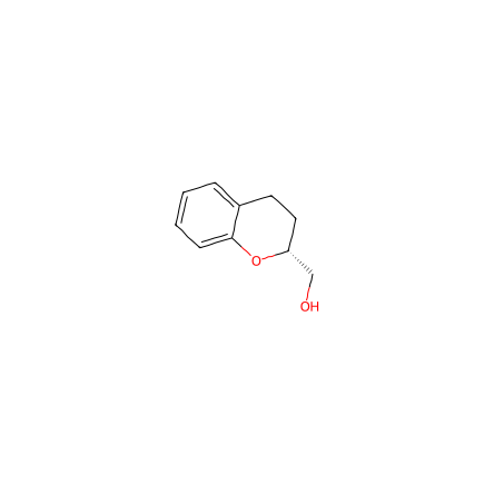 OC[C@H]1CCc2ccccc2O1